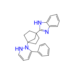 C1=CNN(C23CCC(c4nc5ccccc5[nH]4)(CC2)C3)C(c2ccccc2)=C1